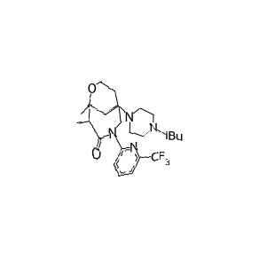 CCC(C)N1CCN(C23CCOC(C)(C2)C(C)C(=O)N(c2cccc(C(F)(F)F)n2)C3)CC1